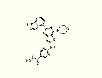 O=C(NO)c1cnc(Nc2cc3nc(-c4cccc5[nH]ncc45)nc(N4CCOCC4)c3s2)nc1